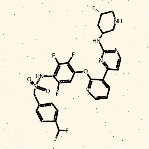 O=S(=O)(Cc1ccc(C(F)F)cc1)Nc1c(F)cc(Oc2ncccc2-c2ccnc(N[C@@H]3CNC[C@@H](F)C3)n2)c(F)c1F